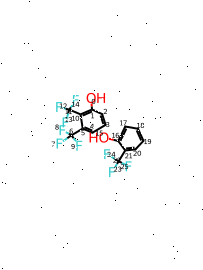 Oc1cccc(C(F)(F)F)c1C(F)(F)F.Oc1ccccc1C(F)(F)F